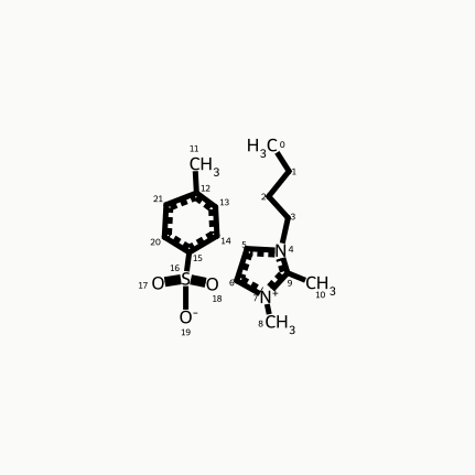 CCCCn1cc[n+](C)c1C.Cc1ccc(S(=O)(=O)[O-])cc1